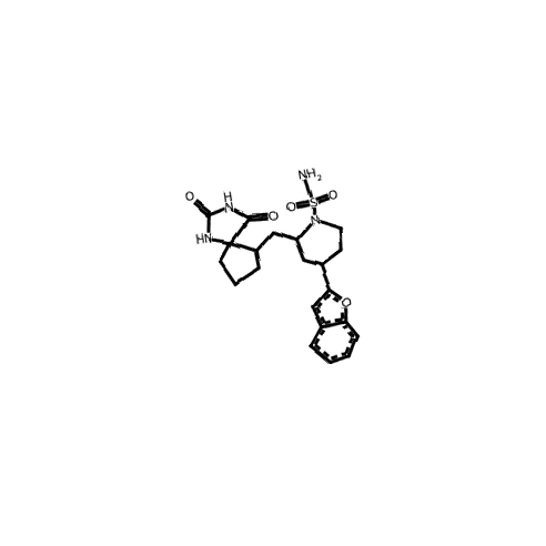 NS(=O)(=O)N1CCC(c2cc3ccccc3o2)CC1CC1CCCC12NC(=O)NC2=O